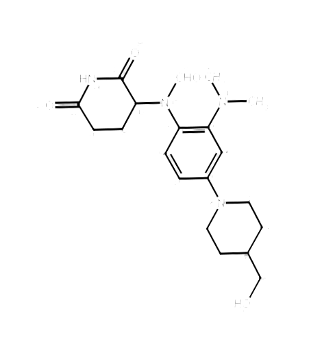 CN(C)c1cc(N2CCC(CO)CC2)ccc1N(C=O)C1CCC(=O)NC1=O